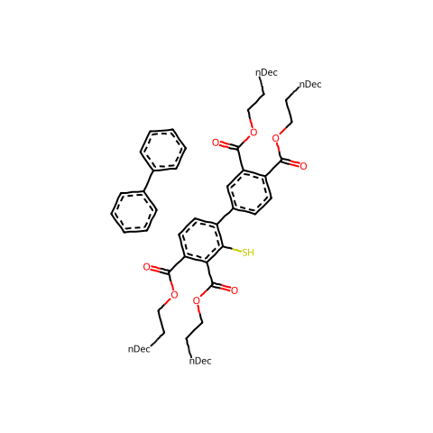 CCCCCCCCCCCCOC(=O)c1ccc(-c2ccc(C(=O)OCCCCCCCCCCCC)c(C(=O)OCCCCCCCCCCCC)c2S)cc1C(=O)OCCCCCCCCCCCC.c1ccc(-c2ccccc2)cc1